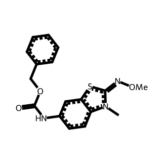 CON=c1sc2cc(NC(=O)OCc3ccccc3)ccc2n1C